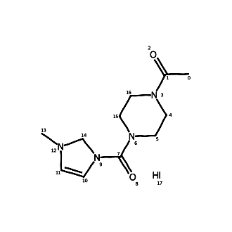 CC(=O)N1CCN(C(=O)N2C=CN(C)C2)CC1.I